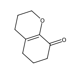 O=C1CCCC2=C1OCCC2